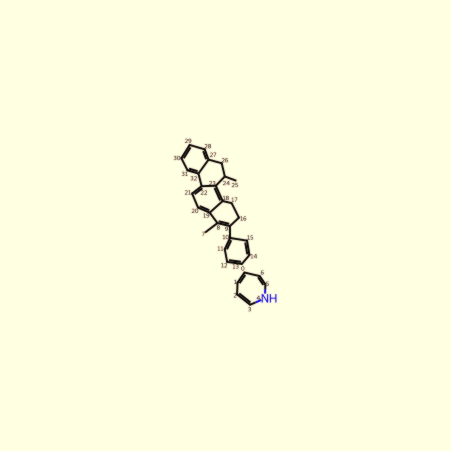 C1=CC=CNC=C1.CC1=C(c2ccccc2)CCc2c1ccc1c2C(C)Cc2ccccc2-1